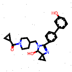 O=C(C1CC1)N1CCC(CN2C(c3ccc(-c4cccc(O)c4)cc3)=NC3(CC3)C2O)CC1